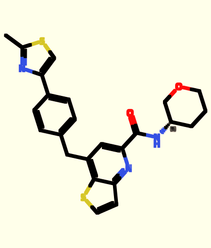 Cc1nc(-c2ccc(Cc3cc(C(=O)N[C@H]4CCCOC4)nc4ccsc34)cc2)cs1